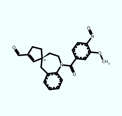 COc1cc(C(=O)N2CC[C@]3(C=C(C=O)CC3)Cc3ccccc32)ccc1N=O